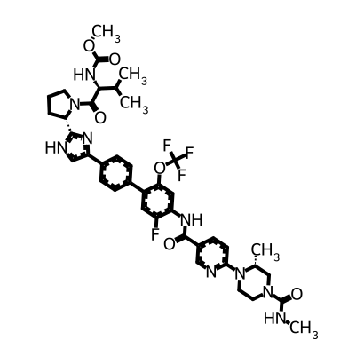 CNC(=O)N1CCN(c2ccc(C(=O)Nc3cc(OC(F)(F)F)c(-c4ccc(-c5c[nH]c([C@@H]6CCCN6C(=O)[C@@H](NC(=O)OC)C(C)C)n5)cc4)cc3F)cn2)[C@H](C)C1